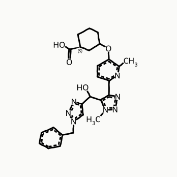 Cc1nc(-c2nnn(C)c2C(O)c2cn(Cc3ccccc3)nn2)ccc1OC1CCC[C@H](C(=O)O)C1